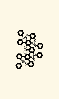 c1ccc(N2B3Sc4cccc5c4-c4c3c(c3c6c4B(S5)N(c4ccccc4)c4cc5c7c(c4-6)C(O3)Oc3c4c6c8c(c3-7)B(Sc3cccc(c3-8)SB6N(c3ccccc3)c3ccccc3-4)N5c3ccccc3)-c3ccccc32)cc1